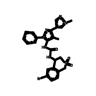 Cc1c(-c2cnn(C)c2)nn(-c2ccccc2)c1NC(=O)NC1CS(=O)(=O)Cc2ccc(Br)cc21